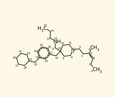 CC/C=C(/C)CCN1CCC(CNCCC)(Cc2cccc(CC3CCCCC3)c2)CC1